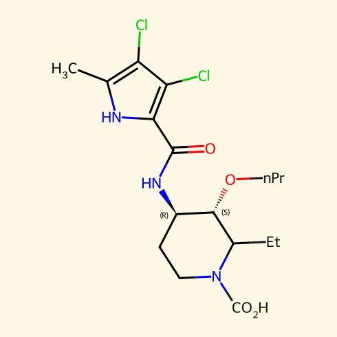 CCCO[C@@H]1C(CC)N(C(=O)O)CC[C@H]1NC(=O)c1[nH]c(C)c(Cl)c1Cl